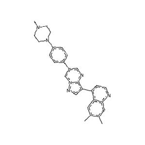 Cc1cc2nccc(-c3cnn4cc(-c5ccc(N6CCN(C)CC6)cc5)cnc34)c2cc1C